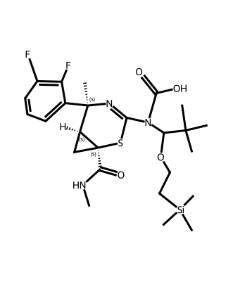 CNC(=O)[C@]12C[C@H]1[C@@](C)(c1cccc(F)c1F)N=C(N(C(=O)O)C(OCC[Si](C)(C)C)C(C)(C)C)S2